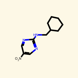 O=[N+]([O-])c1cnc(NCC2CCCCC2)nc1